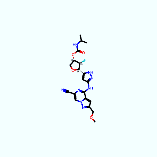 COCc1cc2c(Nc3cc([C@@H]4OC[C@H](OC(=O)NC(C)C)[C@H]4F)[nH]n3)nc(C#N)cn2n1